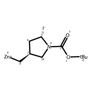 CC(C)(C)OC(=O)N1CC[C@H]([CH2][Zn+])C1.[I-]